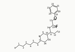 CCCCCCCC1CCC(C(CC)CC(F)COc2ccccc2)CC1